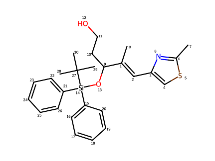 CC(=Cc1csc(C)n1)C(CCO)O[Si](c1ccccc1)(c1ccccc1)C(C)(C)C